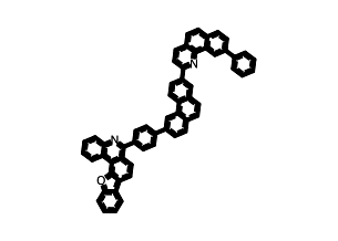 c1ccc(-c2ccc3ccc4ccc(-c5ccc6c(ccc7ccc(-c8ccc(-c9nc%10ccccc%10c%10c9ccc9c%11ccccc%11oc9%10)cc8)cc76)c5)nc4c3c2)cc1